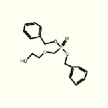 O=P(COCCO)(OCc1ccccc1)OCc1ccccc1